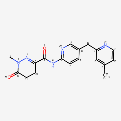 CN1N=C(C(=O)Nc2ccc(Cc3cc(C(F)(F)F)ccn3)cn2)CCC1=O